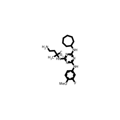 COc1ccc(Nc2nc(NC3CCCCCC3)nc(NC(C)(C)CCN)n2)cc1F